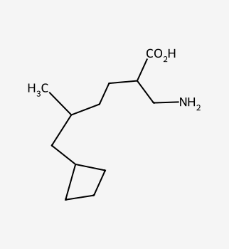 CC(CCC(CN)C(=O)O)CC1CCC1